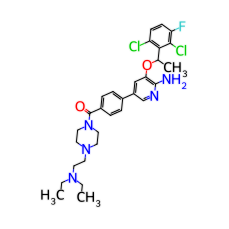 CCN(CC)CCN1CCN(C(=O)c2ccc(-c3cnc(N)c(OC(C)c4c(Cl)ccc(F)c4Cl)c3)cc2)CC1